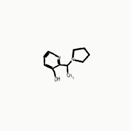 CC(c1ncccc1O)N1CCCC1